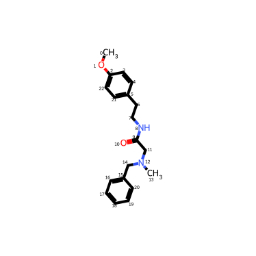 COc1ccc(CCNC(=O)CN(C)Cc2ccccc2)cc1